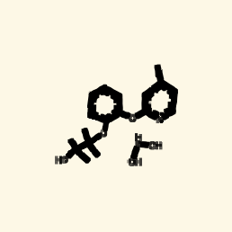 Cc1ccnc(Oc2ccccc2OC(C)(C)C(C)(C)O)c1.OBO